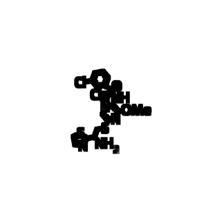 COc1nc(SCC(N)c2nccs2)cnc1NS(=O)(=O)c1cccc(Cl)c1Cl